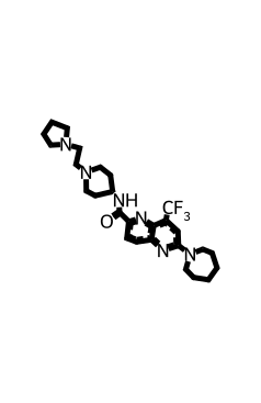 O=C(NC1CCN(CCN2CCCC2)CC1)c1ccc2nc(N3CCCCCC3)cc(C(F)(F)F)c2n1